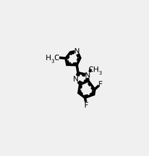 Cc1cncc(-c2nc3cc(F)cc(F)c3n2C)c1